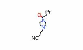 CC(C)CC(=O)N1CCN(CCCC#N)CC1